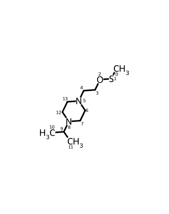 CSOCCN1CCN(C(C)C)CC1